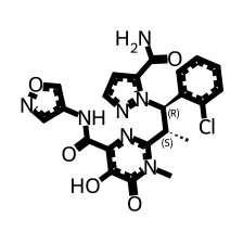 C[C@H](c1nc(C(=O)Nc2cnoc2)c(O)c(=O)n1C)[C@H](c1ccccc1Cl)n1nccc1C(N)=O